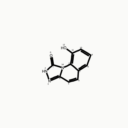 O=c1[nH]nc2ccc3cccc(O)c3n12